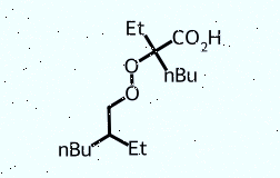 CCCCC(CC)COOC(CC)(CCCC)C(=O)O